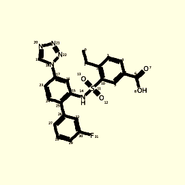 CCc1ccc(C(=O)O)cc1S(=O)(=O)Nc1cc(-n2cnnn2)ccc1-c1cccc(F)c1